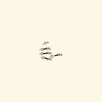 CC(=O)[O-].CC(=O)[O-].CC(=O)[O-].CC(=O)[O-].[Ti+4]